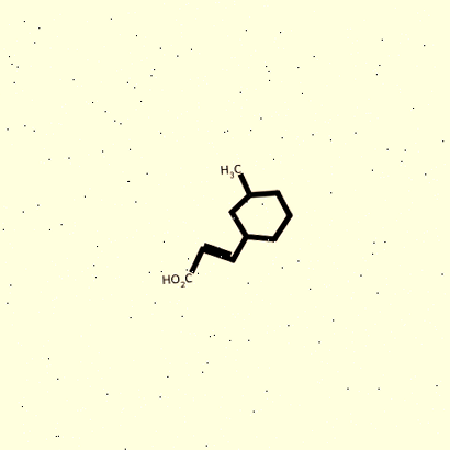 CC1CCCC(C=CC(=O)O)C1